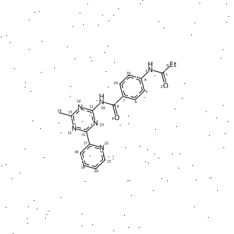 CCC(=O)Nc1ccc(C(=O)Nc2nc(C)nc(-c3ccccn3)n2)cc1